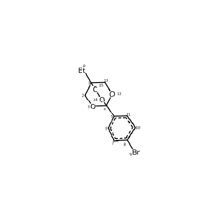 CCC12COC(c3ccc(Br)cc3)(OC1)OC2